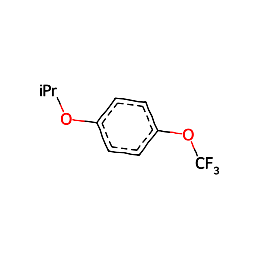 CC(C)Oc1ccc(OC(F)(F)F)cc1